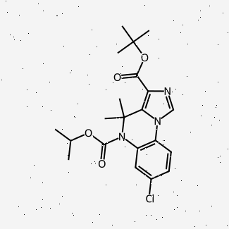 CC(C)OC(=O)N1c2cc(Cl)ccc2-n2cnc(C(=O)OC(C)(C)C)c2C1(C)C